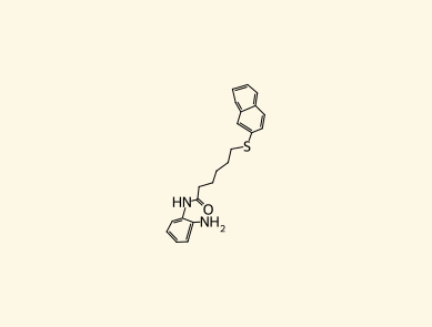 Nc1ccccc1NC(=O)CCCCCSc1ccc2ccccc2c1